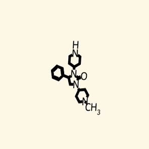 CN1CCC(N2CC(c3ccccc3)N(C3CCNCC3)C2=O)CC1